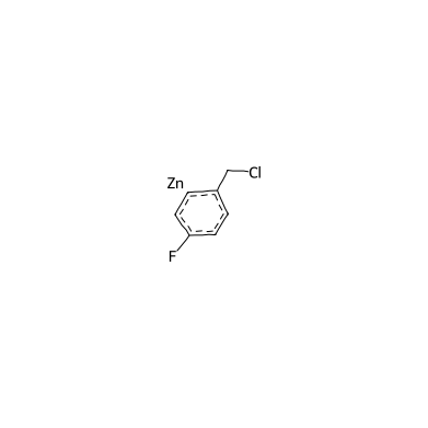 Fc1ccc(CCl)cc1.[Zn]